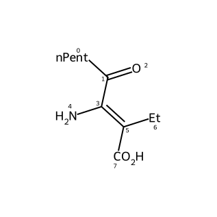 CCCCCC(=O)/C(N)=C(\CC)C(=O)O